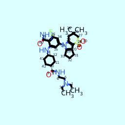 CCN(CC)CCNC(=O)[C@H]1CC[C@H](Nc2cc(-n3c4c(c5c3CC(C)(C)CS5(=O)=O)CCC4)cc(F)c2C(N)=O)CC1